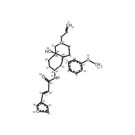 C=CCN1CC[C@@]2(c3cccc(OC)c3)C[C@@H](NC(=O)/C=C/c3ccoc3)CC[C@]2(O)C1